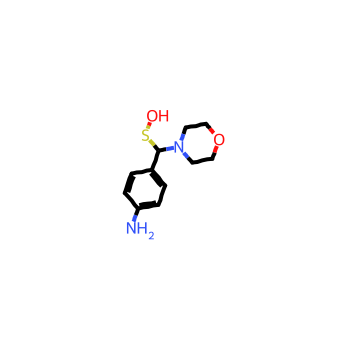 Nc1ccc(C(SO)N2CCOCC2)cc1